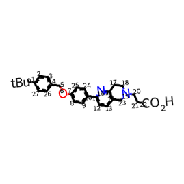 CC(C)(C)c1ccc(COc2ccc(-c3ccc4c(n3)CCN(CCC(=O)O)C4)cc2)cc1